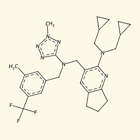 Cc1cc(CN(Cc2cc3c(nc2N(CC2CC2)CC2CC2)CCC3)c2nnn(C)n2)cc(C(F)(F)F)c1